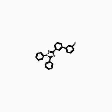 Fc1cccc(-c2cccc(-c3nc(-c4ccccc4)n(-c4ccccc4)n3)c2)c1